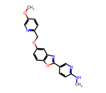 CNc1ccc(-c2nc3cc(OCc4ccc(OC)cn4)ccc3o2)cn1